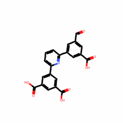 O=Cc1cc(C(=O)O)cc(-c2cccc(-c3cc(C(=O)O)cc(C(=O)O)c3)n2)c1